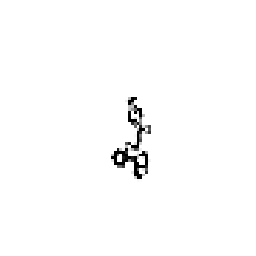 CCN1CCN(C(=O)CCC(=O)N2CCc3sccc3C2c2ccccc2)CC1